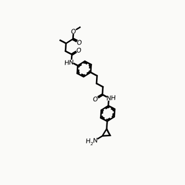 COC(=O)C(C)CC(=O)Nc1ccc(CCCC(=O)Nc2ccc(C3CC3N)cc2)cc1